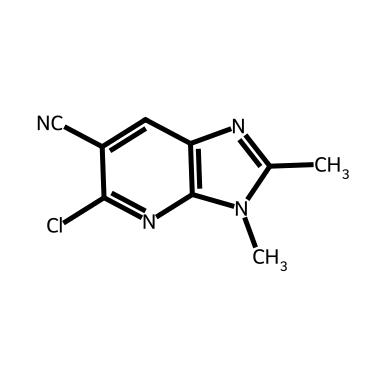 Cc1nc2cc(C#N)c(Cl)nc2n1C